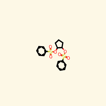 O=S(=O)(OC1CCCC1OS(=O)(=O)c1ccccc1)c1ccccc1